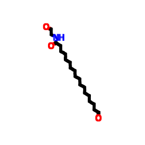 O=CCCCCCCCCCCCCCCCCC(=O)NCC=O